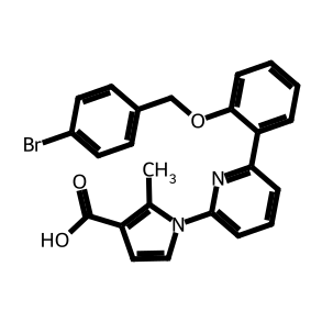 Cc1c(C(=O)O)ccn1-c1cccc(-c2ccccc2OCc2ccc(Br)cc2)n1